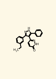 CCc1cccc(-c2n[nH]c(-c3ccccc3)c2-c2ccc(=O)[nH]n2)c1